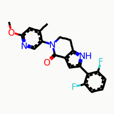 COc1cc(C)c(N2CCc3[nH]c(-c4c(F)cccc4F)cc3C2=O)cn1